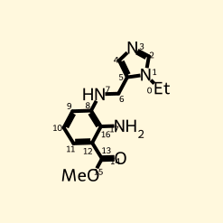 CCn1cncc1CNc1cccc(C(=O)OC)c1N